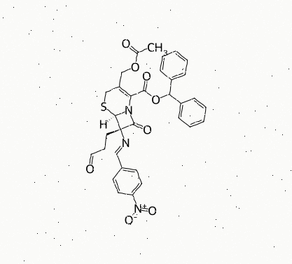 CC(=O)OCC1=C(C(=O)OC(c2ccccc2)c2ccccc2)N2C(=O)[C@](CCC=O)(N=Cc3ccc([N+](=O)[O-])cc3)[C@H]2SC1